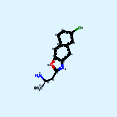 N[C@H](Cc1nc2cc3cc(Cl)ccc3cc2o1)C(=O)O